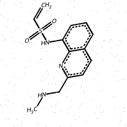 C=CS(=O)(=O)Nc1cccc2ccc(CNC)nc12